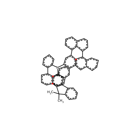 CC1(C)c2ccccc2-c2cc(N(c3cccc(-c4cccc5cccc(-c6cccc7ccccc67)c45)c3)c3ccccc3-c3cccc4ccc5ccccc5c34)ccc21